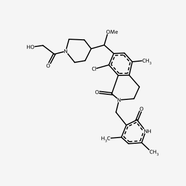 COC(c1cc(C)c2c(c1Cl)C(=O)N(Cc1c(C)cc(C)[nH]c1=O)CC2)C1CCN(C(=O)CO)CC1